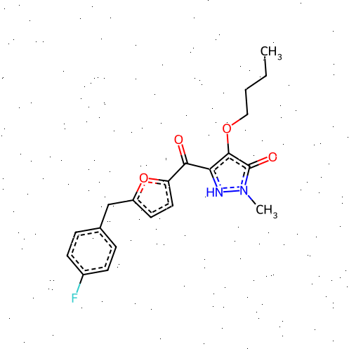 CCCCOc1c(C(=O)c2ccc(Cc3ccc(F)cc3)o2)[nH]n(C)c1=O